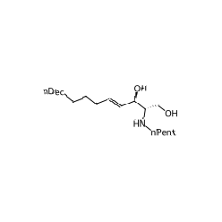 CCCCCCCCCCCCC/C=C/[C@@H](O)[C@H](CO)NCCCCC